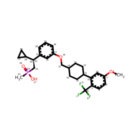 COc1ccc(C(F)(F)F)c(C2CCC(COc3cccc([C@@H](CP(C)(=O)O)C4CC4)c3)CC2)c1